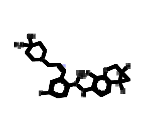 CC1(O)CCN(C/C=C\c2cc(F)ccc2B(O)Nc2ccc3c(c2C(=O)O)OC[C@@H]2C[C@H]32)CC1